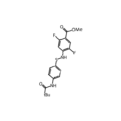 COC(=O)c1cc(F)c(NSc2ccc(NC(=O)C(C)(C)C)cc2)cc1F